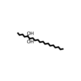 CCCCCCCCCCCCCC(O)C(O)CCCC